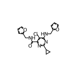 O=C(NCc1ccco1)c1nc(C2CC2)nc(NCc2ccco2)c1Cl